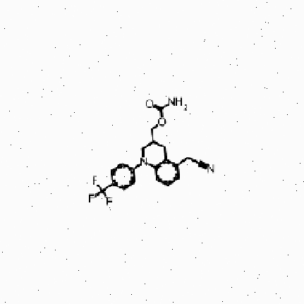 N#CCc1cccc2c1CC(COC(N)=O)CN2c1ccc(C(F)(F)F)cc1